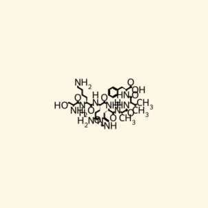 CC(C)[C@H](NC(=O)[C@H](C)NC(=O)[C@H](Cc1c[nH]cn1)NC(=O)[C@H](CCC(N)=O)NC(=O)[C@H](CCCCN)NC(=O)[C@@H](N)CO)C(=O)N[C@@H](Cc1ccccc1)C(=O)O